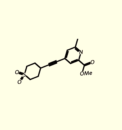 COC(=O)c1cc(C#CC2CCS(=O)(=O)CC2)cc(C)n1